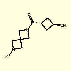 CCCN1CC2(C1)CN(C(=O)[C@H]1C[C@H](C)C1)C2